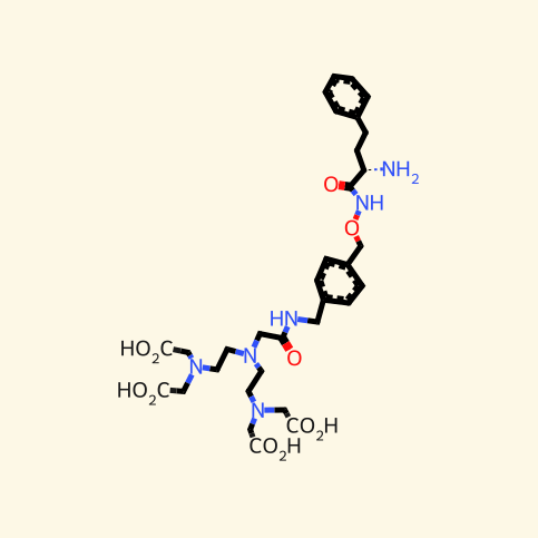 N[C@@H](CCc1ccccc1)C(=O)NOCc1ccc(CNC(=O)CN(CCN(CC(=O)O)CC(=O)O)CCN(CC(=O)O)CC(=O)O)cc1